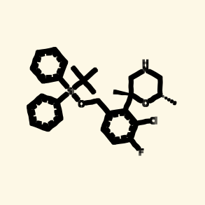 C[C@H]1CNC[C@@](C)(c2c(CO[Si](c3ccccc3)(c3ccccc3)C(C)(C)C)ccc(F)c2Cl)O1